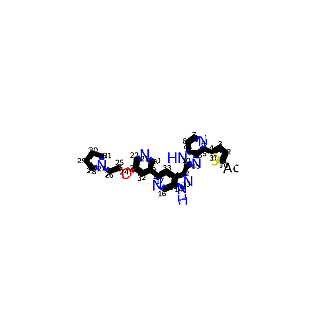 CC(=O)c1ccc(-c2nccc3[nH]c(-c4n[nH]c5cnc(-c6cncc(OCCN7CCCC7)c6)cc45)nc23)s1